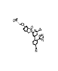 Cn1cnnc1-c1cc(C#N)ccc1-c1cc(C2CC2)nc(N2Cc3ccc(OC[C@H]4CO4)cc3C2=O)c1